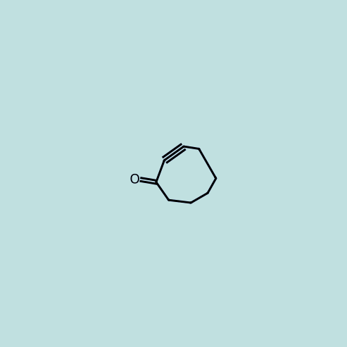 O=C1C#CCCCCC1